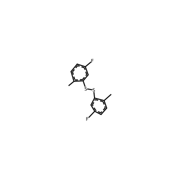 Cc1ccc(F)cc1SSc1cc(F)ccc1C